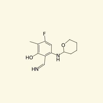 Cc1c(F)cc(NC2CCCCO2)c(C=N)c1O